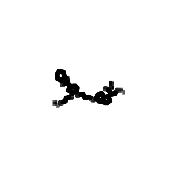 CCCOc1cc(-c2nc3c(s2)CCCC3)ccc1OCCCOc1ccc2c(c1)CC[C@H]2C(CC)C(=O)O